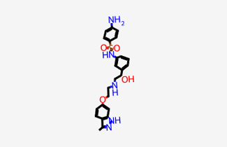 Cc1n[nH]c2cc(OCCNCC(O)c3cccc(NS(=O)(=O)c4ccc(N)cc4)c3)ccc12